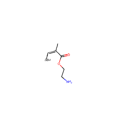 CCCCC=C(C)C(=O)OCCN